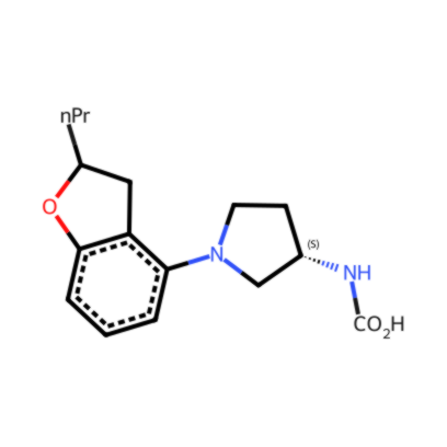 CCCC1Cc2c(cccc2N2CC[C@H](NC(=O)O)C2)O1